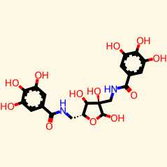 O=C(NC[C@H]1OC(O)[C@@](O)(CNC(=O)c2cc(O)c(O)c(O)c2)C1O)c1cc(O)c(O)c(O)c1